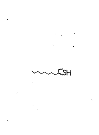 CCCCCCCCC1=C=[SH]C=C1